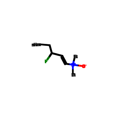 CCCCCCCC(F)/C=C/[N+]([O-])(CC)CC